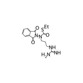 CCSC(=O)N(CCCNC(=N)N)N1C(=O)c2ccccc2C1=O